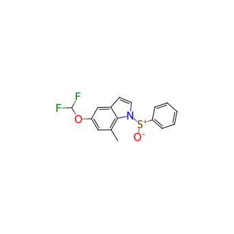 Cc1cc(OC(F)F)cc2ccn([S+]([O-])c3ccccc3)c12